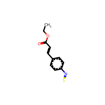 CCOC(=O)/C=C/c1ccc(N=S)cc1